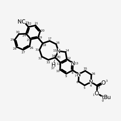 CC(C)(C)OC(=O)N1CCN(c2ccc3c(n2)CN2CCC(c4ccc(C#N)c5c4C=CC=CC5)CCC[C@H]32)CC1